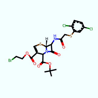 CC(C)(C)OC(=O)C1C(C(=O)OCCBr)=CS[C@@H]2C(NC(=O)CSc3cc(Cl)ccc3Cl)C(=O)N12